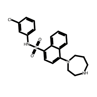 O=S(=O)(Nc1cccc(Cl)c1)c1ccc(N2CCCNCC2)c2ccccc12